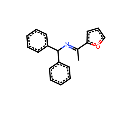 C/C(=N\C(c1ccccc1)c1ccccc1)c1ccco1